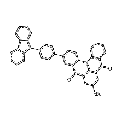 CC(C)(C)c1cc2c(=O)c3ccccc3n3c4ccc(-c5ccc(-n6c7ccccc7c7ccccc76)cc5)cc4c(=O)c(c1)c23